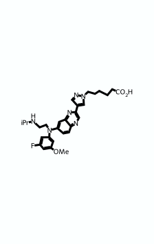 COc1cc(F)cc(N(CCNC(C)C)c2ccc3ncc(-c4cnn(CCCCCC(=O)O)c4)nc3c2)c1